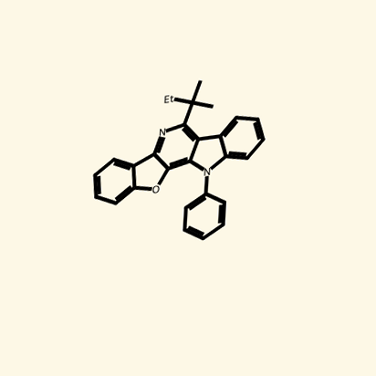 CCC(C)(C)c1nc2c3ccccc3oc2c2c1c1ccccc1n2-c1ccccc1